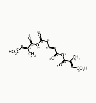 C/C(=C\C(=O)O)C(=O)OC(=O)/C=C/CC(=O)OC(=O)/C(C)=C/C(=O)O